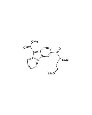 COCCN(OC)C(=O)c1ccc2c(C(=O)OC)c3ccccc3n2c1